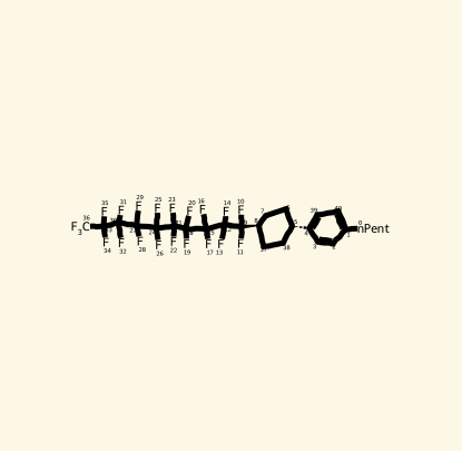 CCCCCc1ccc([C@H]2CC[C@H](C(F)(F)C(F)(F)C(F)(F)C(F)(F)C(F)(F)C(F)(F)C(F)(F)C(F)(F)C(F)(F)C(F)(F)F)CC2)cc1